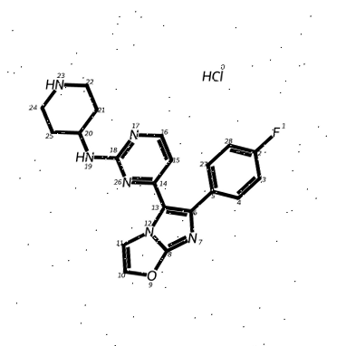 Cl.Fc1ccc(-c2nc3occn3c2-c2ccnc(NC3CCNCC3)n2)cc1